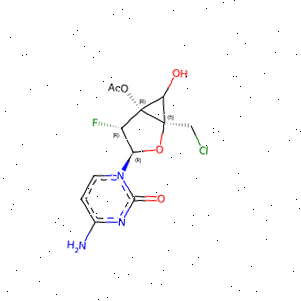 CC(=O)O[C@]12C(O)[C@@]1(CCl)O[C@@H](n1ccc(N)nc1=O)[C@@H]2F